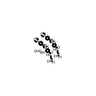 CCN(CC)CCCNC(=O)c1ccc2c(c1)sc1nc(-c3ccc(N4CCOCC4)cc3)cn12.CCN(CC)CCCNC(=O)c1ccc2c(c1)sc1nc(-c3ccc(N4CCOCC4)cc3)cn12.O=CO